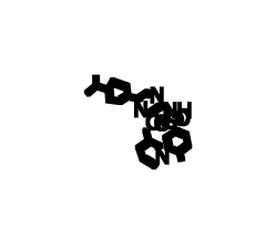 Cc1ccc(S(=O)(=O)Nc2ncc(-c3ccc(C(C)C)cc3)nc2OCc2cccnc2)cc1